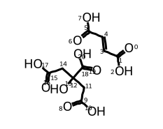 O=C(O)/C=C/C(=O)O.O=C(O)CC(O)(CC(=O)O)C(=O)O